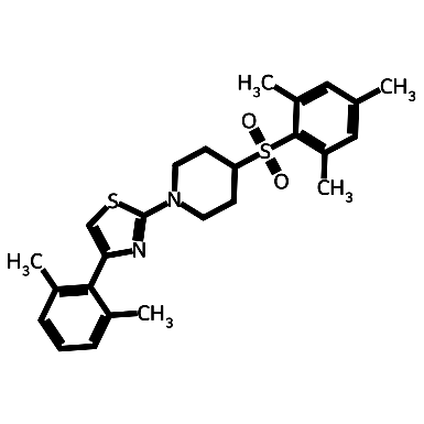 Cc1cc(C)c(S(=O)(=O)C2CCN(c3nc(-c4c(C)cccc4C)cs3)CC2)c(C)c1